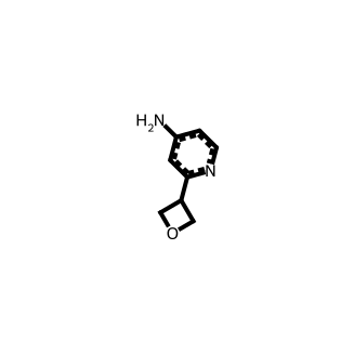 Nc1ccnc(C2COC2)c1